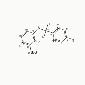 Cc1cnc(C(C)(C)Cc2ccnc(C(C)(C)C)n2)nc1